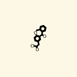 O=C(Cl)Cc1ccc2c(c1)C(=O)c1ccccc1CO2